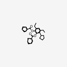 CCc1cc(CC)c(C2CCCC2)c(OC(=O)c2ccccc2)c1OC(=O)c1ccccc1